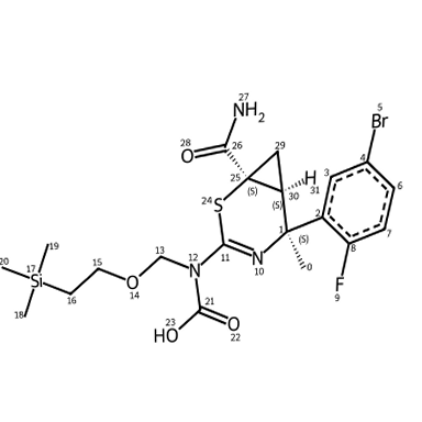 C[C@]1(c2cc(Br)ccc2F)N=C(N(COCC[Si](C)(C)C)C(=O)O)S[C@@]2(C(N)=O)C[C@H]21